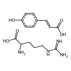 N=C(N)NCCCC(N)C(=O)O.O=C(O)/C=C/c1ccc(O)cc1